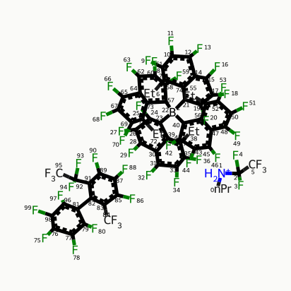 CCC[NH2+]C(F)(F)C(F)(F)F.CCc1c(F)c(F)c(F)c2c(F)c(F)c(F)c([B-](c3c(F)c(F)c(F)c4c(F)c(F)c(F)c(CC)c34)(c3c(F)c(F)c(F)c4c(F)c(F)c(F)c(CC)c34)c3c(F)c(F)c(F)c4c(F)c(F)c(F)c(CC)c34)c12.Fc1c(F)c(F)c(-c2c(C(F)(F)F)c(F)c(F)c(F)c2C(F)(F)C(F)(F)F)c(F)c1F